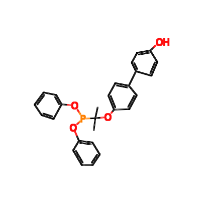 CC(C)(Oc1ccc(-c2ccc(O)cc2)cc1)P(Oc1ccccc1)Oc1ccccc1